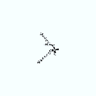 CCCCCCOS(C)(=O)=O.[Ar].[Ar].[Ar].[Ar].[Ar].[Ar].[Ar].[Ar].[Ar].[Ar].[Ar]